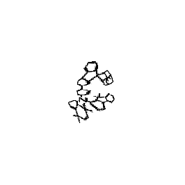 CC1(C)CCC(C)(C)c2c(N(c3ccc(-c4ccc5c(c4)C4(c6ccccc6-5)C5CC6CC7CC4C75C6)cc3)c3cccc4c3C(C)(C)c3ccccc3-4)cccc21